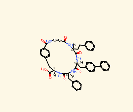 O=C1CCNC(=O)c2ccc(cc2)C[C@@H](C(=O)O)NC(=O)[C@H](Cc2ccccc2)NC(=O)[C@H](Cc2ccc(-c3ccccc3)cc2)NC(=O)[C@@H](CCc2ccccc2)N1